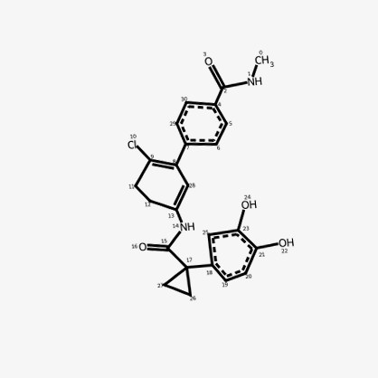 CNC(=O)c1ccc(C2=C(Cl)CCC(NC(=O)C3(c4ccc(O)c(O)c4)CC3)=C2)cc1